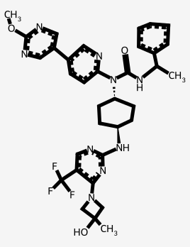 COc1ncc(-c2ccc(N(C(=O)NC(C)c3ccccc3)[C@H]3CC[C@H](Nc4ncc(C(F)(F)F)c(N5CC(C)(O)C5)n4)CC3)nc2)cn1